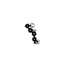 CC(Nc1cccc2c1[nH]c1ccc(-c3ccc4c(c3)C(=O)NC4)cc12)c1ccccc1